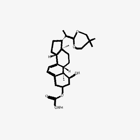 COC(=O)OC1CC2=CC=C3[C@@H]4CC[C@H](C(C)C5OCC(C)(C)CO5)[C@@]4(C)CC[C@@H]3[C@@]2(C)C(O)C1